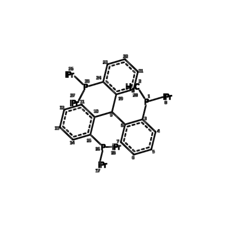 CC(C)P(C)c1ccccc1C(c1ccccc1P(C(C)C)C(C)C)c1ccccc1P(C(C)C)C(C)C